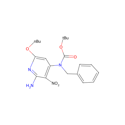 CCCCOc1cc(N(Cc2ccccc2)C(=O)OC(C)(C)C)c([N+](=O)[O-])c(N)n1